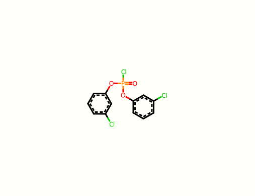 O=P(Cl)(Oc1cccc(Cl)c1)Oc1cccc(Cl)c1